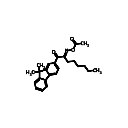 CCCCCC/C(=N\OC(C)=O)C(=O)c1ccc2c(c1)C(C)(C)c1ccccc1-2